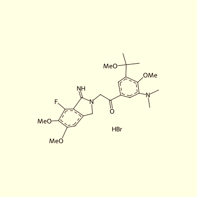 Br.COc1cc2c(c(F)c1OC)C(=N)N(CC(=O)c1cc(N(C)C)c(OC)c(C(C)(C)OC)c1)C2